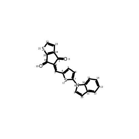 O=C1/C(=C\c2ccc(-n3ccc4ccccc43)s2)C(=O)c2sccc21